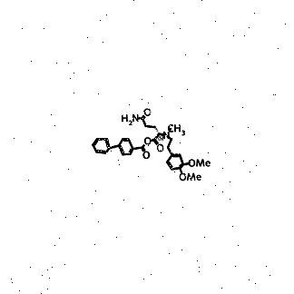 COc1ccc(CCN(C)[C@@H](CCC(N)=O)C(=O)OC(=O)c2ccc(-c3ccccc3)cc2)cc1OC